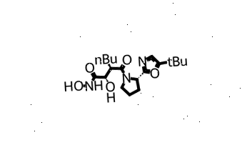 CCCC[C@@H](C(=O)N1CCC[C@H]1c1ncc(C(C)(C)C)o1)[C@H](O)C(=O)NO